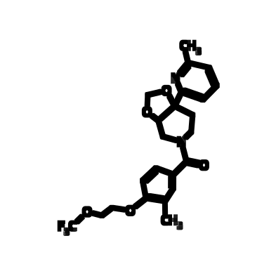 Cc1cccc(C23CCN(C(=O)c4ccc(OCCOC(F)(F)F)c(C)c4)CC2OCO3)n1